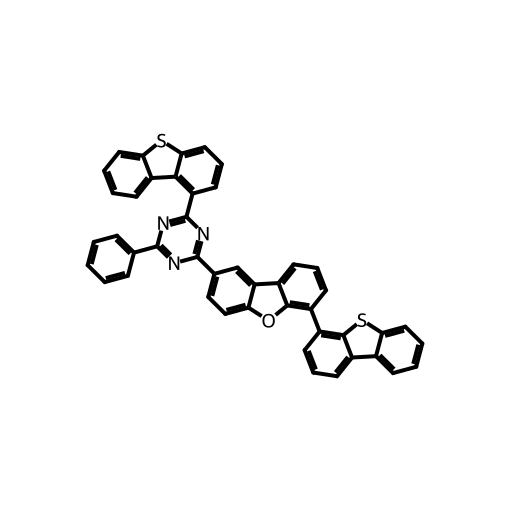 c1ccc(-c2nc(-c3ccc4oc5c(-c6cccc7c6sc6ccccc67)cccc5c4c3)nc(-c3cccc4sc5ccccc5c34)n2)cc1